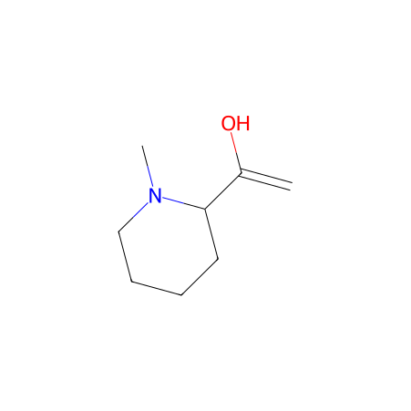 C=C(O)C1CCCCN1C